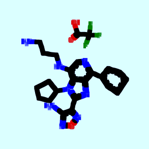 NCCCNc1cnc(-c2ccccc2)c2nc(-c3nonc3N)n(C3CCCC3)c12.O=C(O)C(F)(F)F